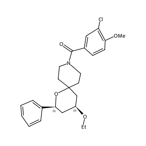 CCO[C@H]1C[C@@H](c2ccccc2)OC2(CCN(C(=O)c3ccc(OC)c(Cl)c3)CC2)C1